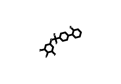 FC1CC(OC(F)(F)C2CCC(C3CCCCC3F)CC2)CC(F)C1F